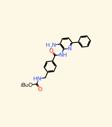 CC(C)COC(=O)NCc1ccc(C(=O)Nc2nc(-c3ccccc3)ccc2N)cc1